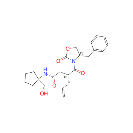 C=CC[C@H](CC(=O)NC1(CO)CCCC1)C(=O)N1C(=O)OC[C@@H]1Cc1ccccc1